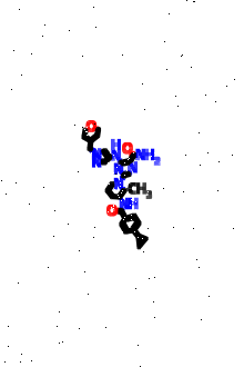 C[C@@H]1[C@H](NC(=O)c2ccc(C3CC3)cc2)CCCN1c1cnc(C(N)=O)c(Nc2cnn(CC3CCOCC3)c2)n1